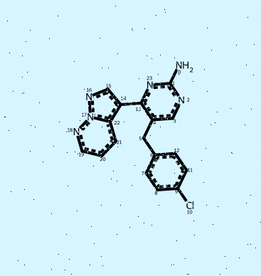 Nc1ncc(Cc2ccc(Cl)cc2)c(-c2cnn3ncccc23)n1